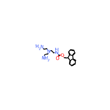 NCCN(CCN)CCNC(=O)OCC1c2ccccc2-c2ccccc21